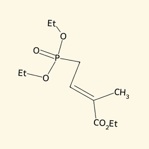 CCOC(=O)C(C)=CCP(=O)(OCC)OCC